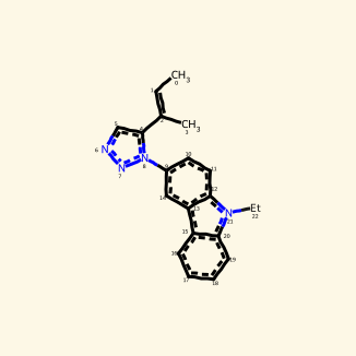 C/C=C(\C)c1cnnn1-c1ccc2c(c1)c1ccccc1n2CC